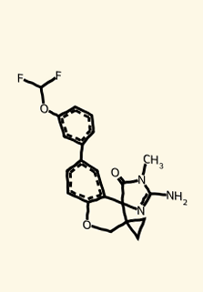 CN1C(=O)C2(N=C1N)c1cc(-c3cccc(OC(F)F)c3)ccc1OCC21CC1